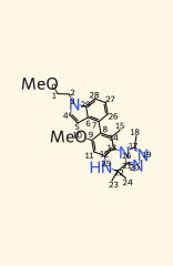 COCCn1ccc2c(-c3c(OC)cc4c(c3C)-n3c(C)nnc3C(C)(C)N4)cccc21